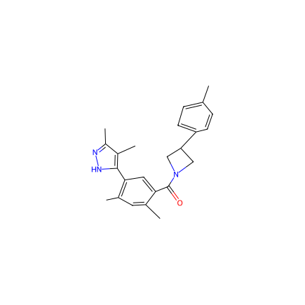 Cc1ccc(C2CN(C(=O)c3cc(-c4[nH]nc(C)c4C)c(C)cc3C)C2)cc1